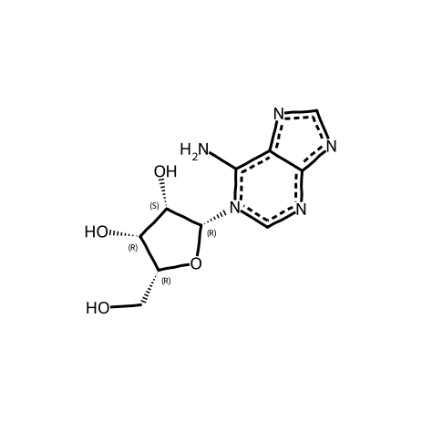 Nc1c2ncnc-2ncn1[C@@H]1O[C@H](CO)[C@H](O)[C@@H]1O